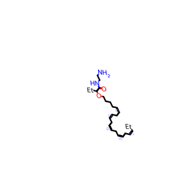 CC/C=C\C/C=C\C/C=C\C/C=C\C/C=C\CCCCOC(CC)C(=O)NCCN